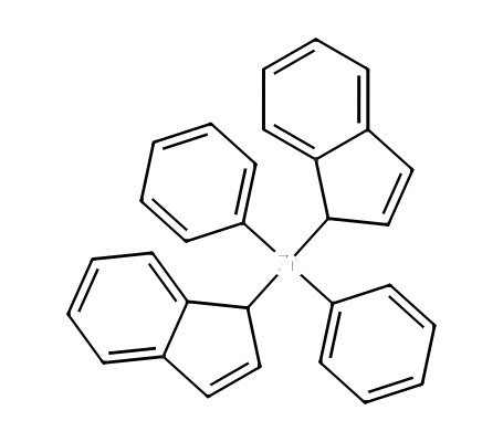 C1=C[CH]([Zr]([c]2ccccc2)([c]2ccccc2)[CH]2C=Cc3ccccc32)c2ccccc21